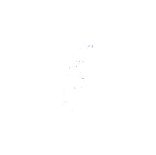 C[C@]12CCC3C(CC[C@H]4CC(=NO[C@H]5CCNC5)CC[C@]34C)C1C[C@@H](F)C2=O